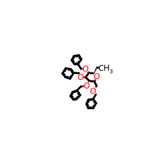 CC[C@H]1OC(COCc2ccccc2)[C@@H](OCc2ccccc2)C(OCc2ccccc2)C1OCc1ccccc1